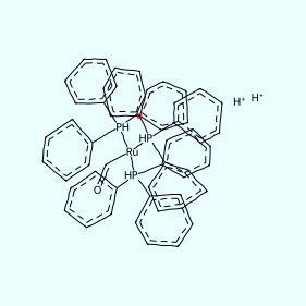 O=[CH][Ru]([PH](c1ccccc1)(c1ccccc1)c1ccccc1)([PH](c1ccccc1)(c1ccccc1)c1ccccc1)[PH](c1ccccc1)(c1ccccc1)c1ccccc1.[H+].[H+]